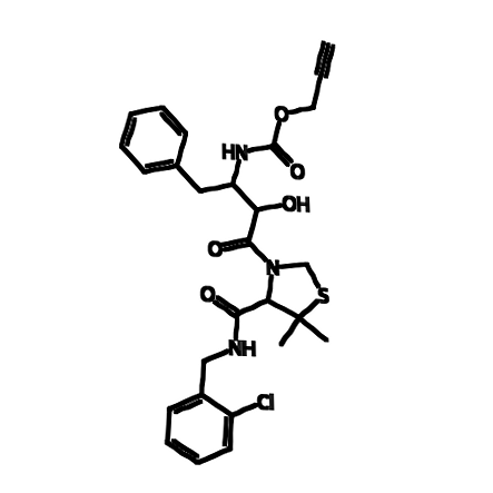 C#CCOC(=O)NC(Cc1ccccc1)C(O)C(=O)N1CSC(C)(C)C1C(=O)NCc1ccccc1Cl